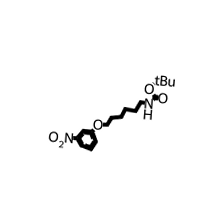 CC(C)(C)OC(=O)NCCCCCCOc1cccc([N+](=O)[O-])c1